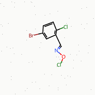 ClO/N=C/c1cc(Br)ccc1Cl